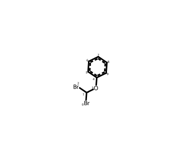 Br[C](Br)Oc1ccccc1